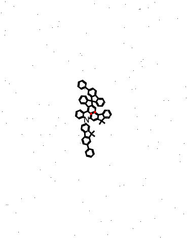 CC1(C)c2ccccc2-c2ccc(N(c3ccc4c(c3)C(C)(C)c3cc(-c5ccccc5)ccc3-4)c3ccccc3-c3cccc4c3-c3ccccc3C43c4ccccc4-c4ccc(-c5ccccc5)cc43)cc21